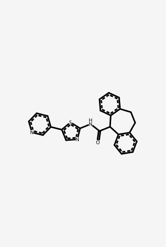 O=C(Nc1ncc(-c2cccnc2)s1)C1c2ccccc2CCc2ccccc21